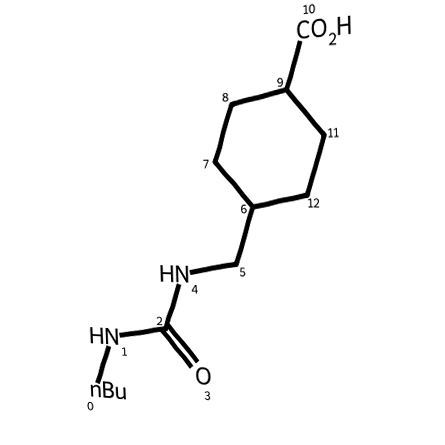 CCCCNC(=O)NCC1CCC(C(=O)O)CC1